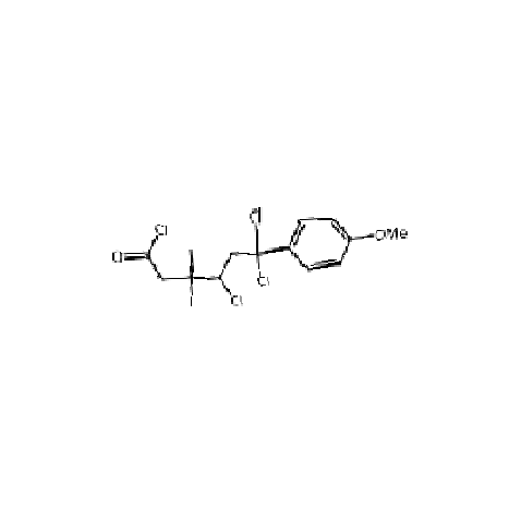 COc1ccc(C(Cl)(Cl)CC(Cl)C(C)(C)CC(=O)Cl)cc1